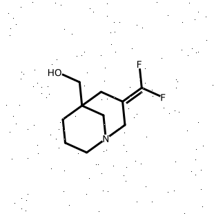 OCC12CCCN(CC(=C(F)F)C1)C2